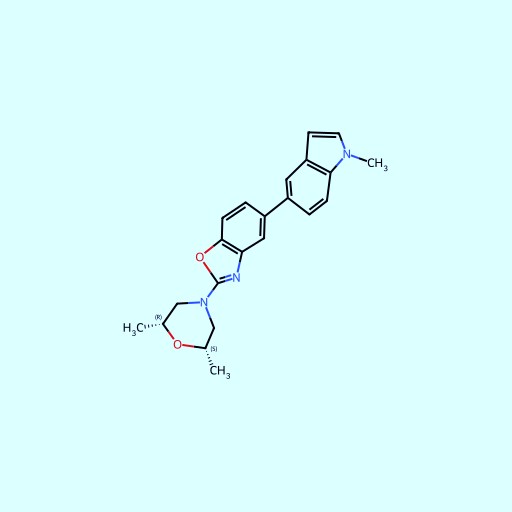 C[C@@H]1CN(c2nc3cc(-c4ccc5c(ccn5C)c4)ccc3o2)C[C@H](C)O1